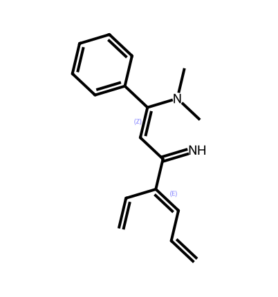 C=C/C=C(\C=C)C(=N)/C=C(/c1ccccc1)N(C)C